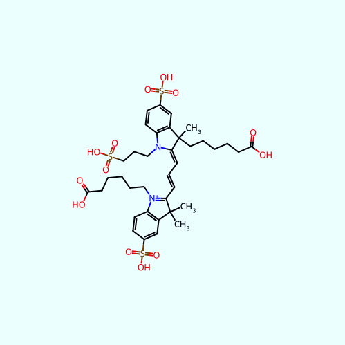 CC1(C)C(/C=C/C=C2\N(CCCS(=O)(=O)O)c3ccc(S(=O)(=O)O)cc3C2(C)CCCCCC(=O)O)=[N+](CCCCCC(=O)O)c2ccc(S(=O)(=O)O)cc21